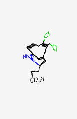 O=C(O)CCc1cc2c(Cl)c(Cl)ccc2[nH]1